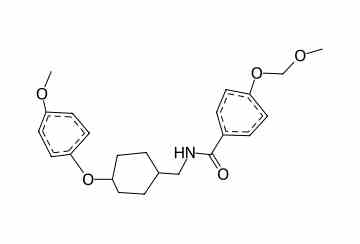 COCOc1ccc(C(=O)NCC2CCC(Oc3ccc(OC)cc3)CC2)cc1